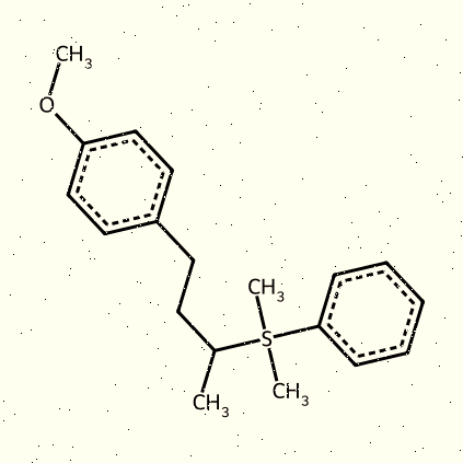 COc1ccc(CCC(C)S(C)(C)c2ccccc2)cc1